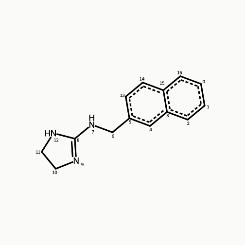 c1ccc2cc(CNC3=NCCN3)ccc2c1